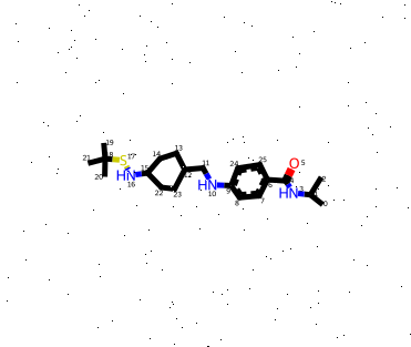 CC(C)NC(=O)c1ccc(NCC2CCC(NSC(C)(C)C)CC2)cc1